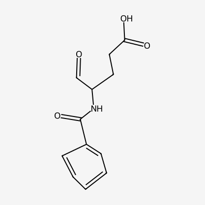 O=CC(CCC(=O)O)NC(=O)c1ccccc1